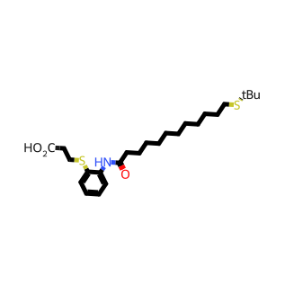 CC(C)(C)SCCCCCCCCCCCC(=O)Nc1ccccc1SCCC(=O)O